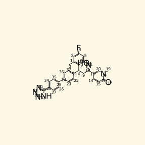 Cc1cc(F)ccc1C(C/C(=N\O)c1ccc(=O)n(C)c1)c1ccc(-c2ccc(-c3nnn[nH]3)cc2)cc1